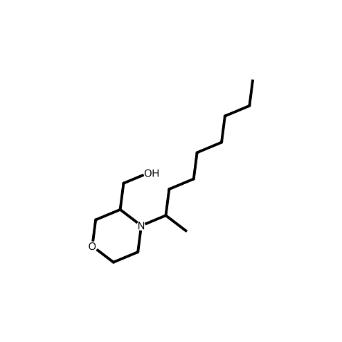 CCCCCCCC(C)N1CCOCC1CO